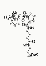 CCCCCCCCCCCCNC(=O)CCCNC(=O)[C@@H]1CCCN1S(=O)(=O)CC12CCC(CC1=O)C2(C)C